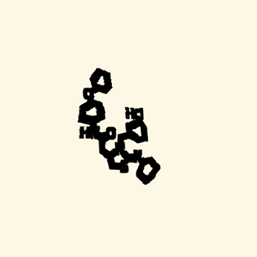 Cl.O=C(CC1CS/C(=N\C2CCCCC2)N1Cc1ccccc1)Nc1ccc(Oc2ccccc2)cc1